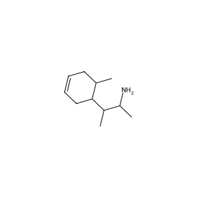 CC(N)C(C)C1CC=CCC1C